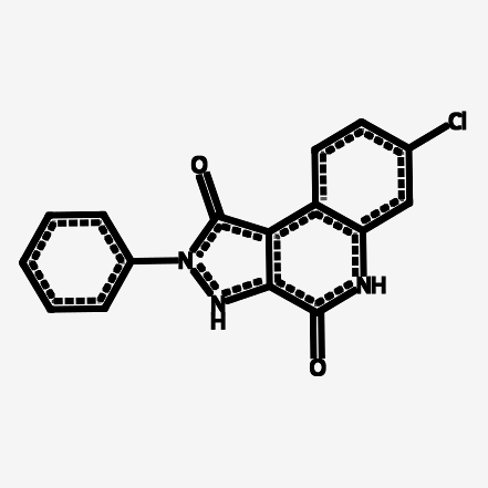 O=c1[nH]c2cc(Cl)ccc2c2c(=O)n(-c3ccccc3)[nH]c12